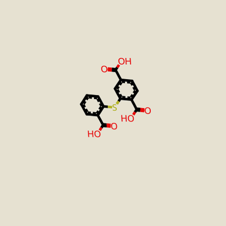 O=C(O)c1ccc(C(=O)O)c(Sc2ccccc2C(=O)O)c1